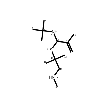 C=C(C)C(NC(C)(C)C)SC(C)(C)CNC